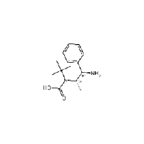 C[C@@H]([C@H](N)c1ccccc1)N(C(=O)O)C(C)(C)C